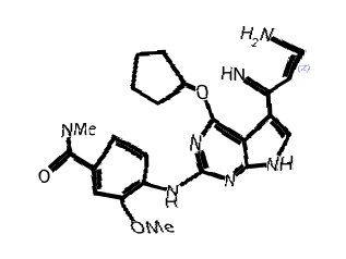 CNC(=O)c1ccc(Nc2nc(OC3CCCC3)c3c(C(=N)/C=C\N)c[nH]c3n2)c(OC)c1